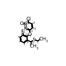 CCSC(C)c1cccc(F)c1Oc1ccc(Cl)[n+]([O-])n1